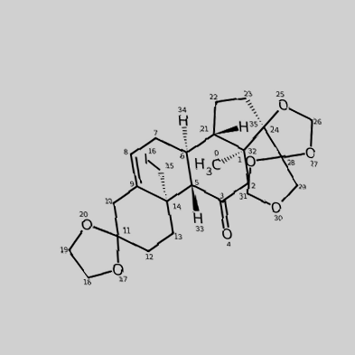 C[C@]12CC(=O)[C@H]3[C@@H](CC=C4CC5(CC[C@@]43CI)OCCO5)[C@@H]1CC[C@@]21OCOC12COCO2